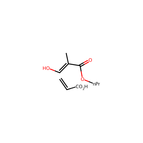 C=CC(=O)O.CCCOC(=O)C(C)=CO